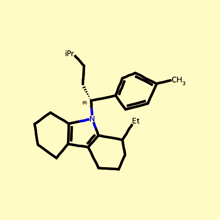 CCC1CCCc2c3c(n([C@H](CCC(C)C)c4ccc(C)cc4)c21)CCCC3